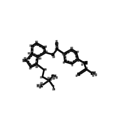 CC(=O)Nc1ccc(C(=O)Oc2cccc3[nH]cc(CC[N+](C)(C)I)c23)cc1